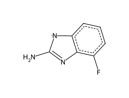 NC1=Nc2c(F)cccc2[N]1